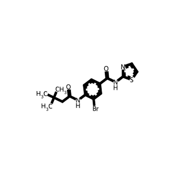 CC(C)(C)CC(=O)Nc1ccc(C(=O)Nc2nccs2)cc1Br